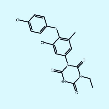 CCn1c(=O)[nH]c(=O)n(-c2cc(C)c(Sc3ccc(Cl)cc3)c(Cl)c2)c1=O